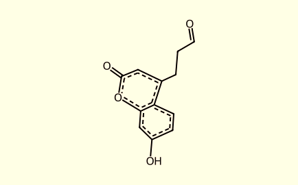 O=CCCc1cc(=O)oc2cc(O)ccc12